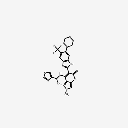 CC(Nc1c(-c2nc3cc(C(F)(F)F)c(N4CCOCC4)cc3[nH]2)c(=O)[nH]c2cn(C)nc12)c1cocn1